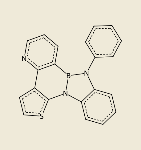 c1ccc(N2B3c4cccnc4-c4ccsc4N3c3ccccc32)cc1